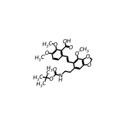 COc1ccc(/C=C/c2c(CCNC(=O)OC(C)(C)C)cc3c(c2OC)OCO3)c(C(=O)O)c1OC